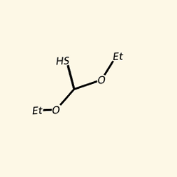 CCOC(S)OCC